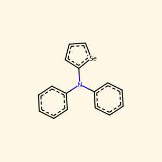 c1ccc(N(c2ccccc2)c2ccc[se]2)cc1